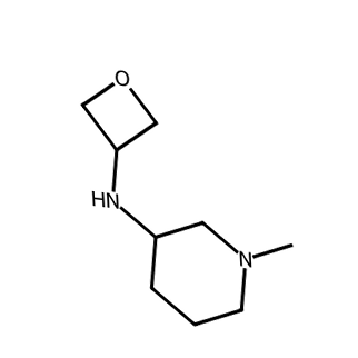 CN1CCCC(NC2COC2)C1